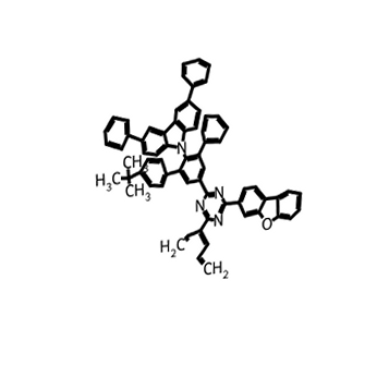 C=C/C=C(\C=C)c1nc(-c2cc(-c3ccccc3)c(-n3c4ccc(-c5ccccc5)cc4c4cc(-c5ccccc5)ccc43)c(-c3ccc(C(C)(C)C)cc3)c2)nc(-c2ccc3c(c2)oc2ccccc23)n1